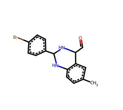 Cc1ccc2c(c1)C(C=O)NC(c1ccc(Br)cc1)N2